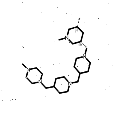 C[C@@H]1C[C@H](CN2CCC(CN3CCC(CN4CCN(C)CC4)CC3)CC2)CN(C)C1